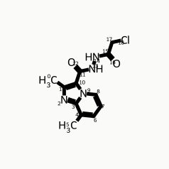 Cc1nc2c(C)cccn2c1C(=O)NNC(=O)CCl